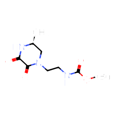 C[C@H]1CN(CCNC(=O)OC(C)(C)C)C(=O)C(=O)N1